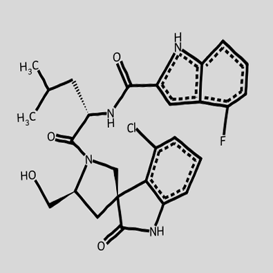 CC(C)C[C@H](NC(=O)c1cc2c(F)cccc2[nH]1)C(=O)N1C[C@]2(C[C@H]1CO)C(=O)Nc1cccc(Cl)c12